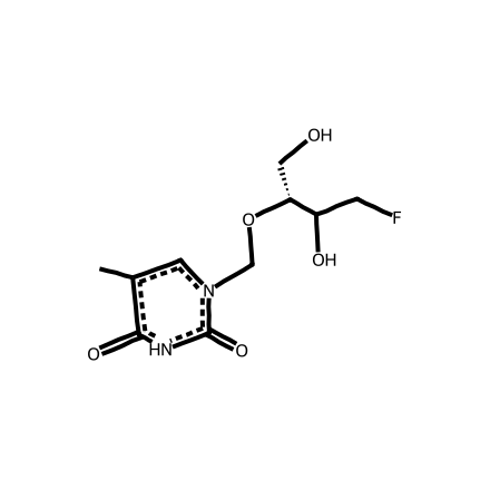 Cc1cn(CO[C@H](CO)C(O)CF)c(=O)[nH]c1=O